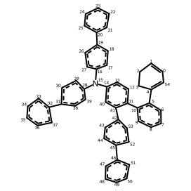 C1=CCCC(c2ccccc2-c2ccc(N(c3ccc(-c4ccccc4)cc3)c3ccc(-c4ccccc4)cc3)cc2-c2ccc(-c3ccccc3)cc2)=C1